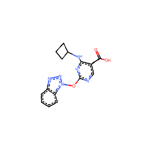 O=C(O)c1cnc(On2nnc3ccccc32)nc1NC1CCC1